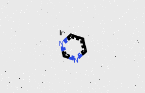 [Ir].c1cncnc1